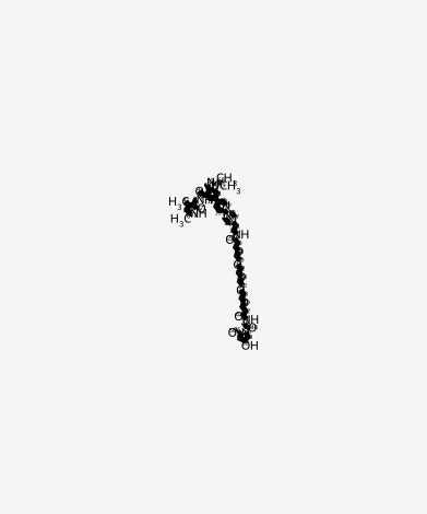 Cc1cc(C)c(CNC(=O)c2cc(-c3ccc(N4CCN(CCNC(=O)CCOCCOCCOCCOCCOCCC(=O)NCC(=O)N5C[C@H](O)C[C@H]5C=O)CC4)nc3)cc3c2cnn3C(C)C)c(=O)[nH]1